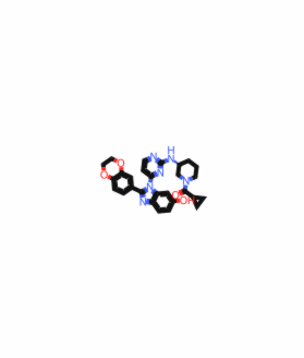 O=C(C1CC1)N1CCC[C@H](Nc2nccc(-n3c(-c4ccc5c(c4)OCCO5)nc4ccc(O)cc43)n2)C1